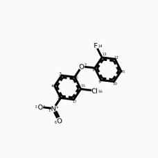 O=[N+]([O-])c1c[c]c(Oc2ccccc2F)c(Cl)c1